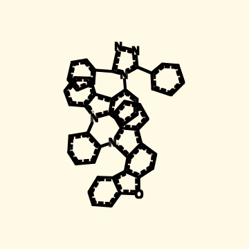 c1ccc(-c2nnc(-c3ccccc3)n2-c2cccc3c2c2ccccc2n3-c2ccccc2-n2c3ccccc3c3ccc4oc5ccccc5c4c32)cc1